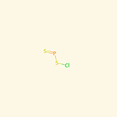 S=PSCl